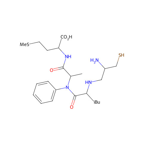 CCC(C)C(NCC(N)CS)C(=O)N(c1ccccc1)C(C)C(=O)NC(CCSC)C(=O)O